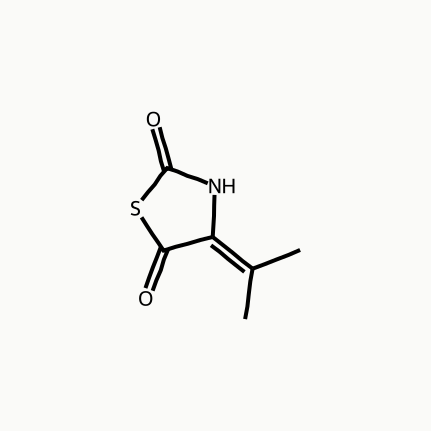 CC(C)=C1NC(=O)SC1=O